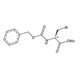 COC(=O)[C@H](CBr)NC(=O)OCc1ccccc1